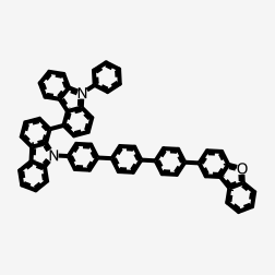 c1ccc(-n2c3ccccc3c3c(-c4cccc5c6ccccc6n(-c6ccc(-c7ccc(-c8ccc(-c9ccc%10oc%11ccccc%11c%10c9)cc8)cc7)cc6)c45)cccc32)cc1